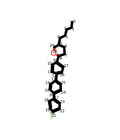 CCCCCC1CCC(c2ccc(-c3ccc(-c4ccc(F)cc4)cc3)cc2)OC1